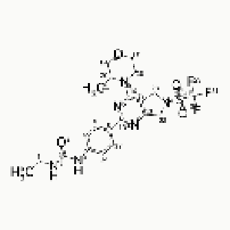 CCNC(=O)Nc1ccc(-c2nc3c(c(N4CCOCC4C)n2)CN(S(=O)(=O)C(F)(F)F)C3)cc1